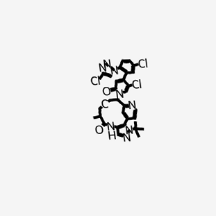 CC1CCCC(n2cc(Cl)c(-c3cc(Cl)ccc3-n3cc(Cl)nn3)cc2=O)c2cc(ccn2)-c2c(cnn2C(C)(C)C)NC1=O